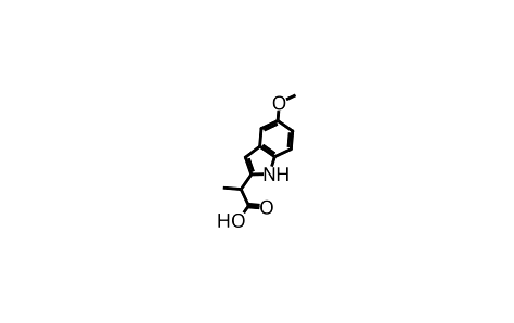 COc1ccc2[nH]c(C(C)C(=O)O)cc2c1